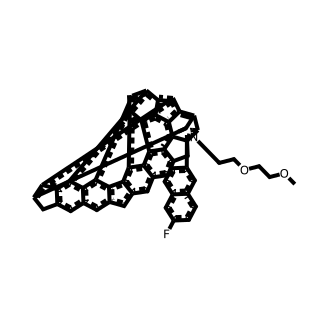 COCCOCCN1CC2C3=c4c5c6c7c(cc8cc9cc%10cc%11cc%12c%13c(c4c4c5c5c7c8c7c9c%10c8c%11c%13c4c8c75)=C(C3)C%12)CC62C1c1ccc2cc(F)ccc2c1